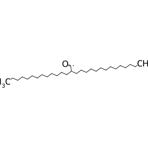 CCCCCCCCCCCCCCC([C]=O)CCCCCCCCCCCCC